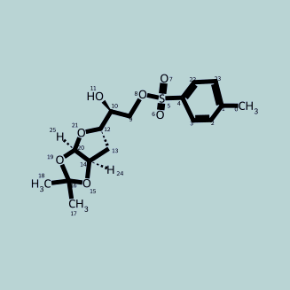 Cc1ccc(S(=O)(=O)OC[C@H](O)[C@@H]2C[C@H]3OC(C)(C)O[C@H]3O2)cc1